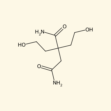 NC(=O)CC(CCO)(CCO)C(N)=O